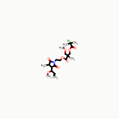 C=CC(OC)C1C(=O)N(CCOC(=O)C(C)(COC)COC(=O)C(C)(C)Br)C(=O)C1C